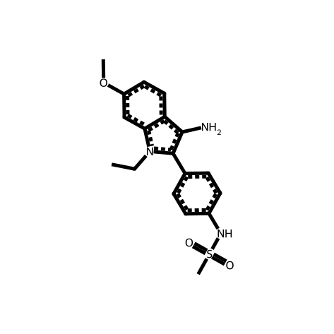 CCn1c(-c2ccc(NS(C)(=O)=O)cc2)c(N)c2ccc(OC)cc21